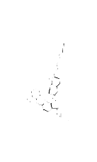 CCOCCOCCOc1ccc2cc(Nc3nc(NC4CCCC[C@@H]4N)c(F)cc3C(N)=O)ccc2n1